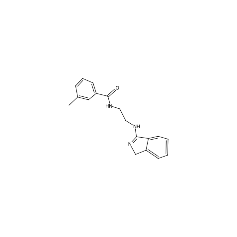 Cc1cccc(C(=O)NCCNC2=NCc3ccccc32)c1